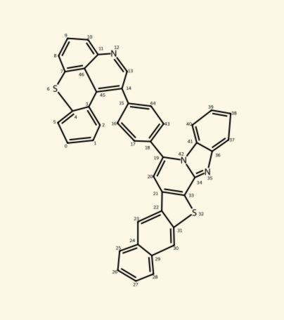 c1ccc2c(c1)Sc1cccc3ncc(-c4ccc(-c5cc6c7cc8ccccc8cc7sc6c6nc7ccccc7n56)cc4)c-2c13